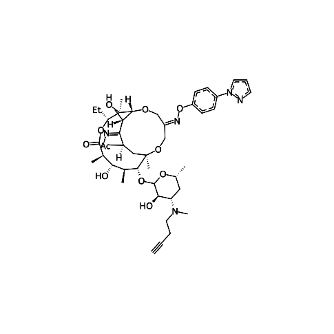 C#CCCN(C)[C@H]1C[C@@H](C)OC(O[C@@H]2[C@@H](C)[C@H](O)[C@@H](C)C(=O)O[C@H](CC)[C@@](C)(O)[C@@H]3OC/C(=N\Oc4ccc(-n5cccn5)cc4)CO[C@]2(C)C[C@@H](C)/C(=N\C(C)=O)[C@@H]3C)[C@@H]1O